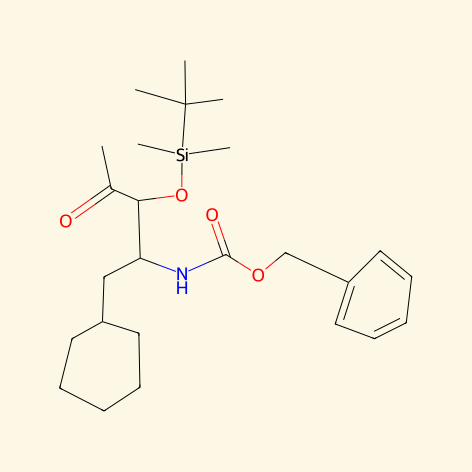 CC(=O)C(O[Si](C)(C)C(C)(C)C)C(CC1CCCCC1)NC(=O)OCc1ccccc1